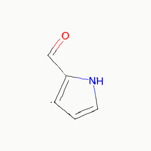 O=Cc1[c]cc[nH]1